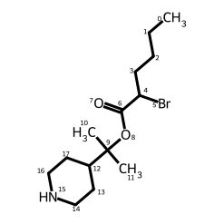 CCCCC(Br)C(=O)OC(C)(C)C1CCNCC1